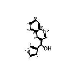 OC(c1ccsc1)c1cnc2ccccc2c1